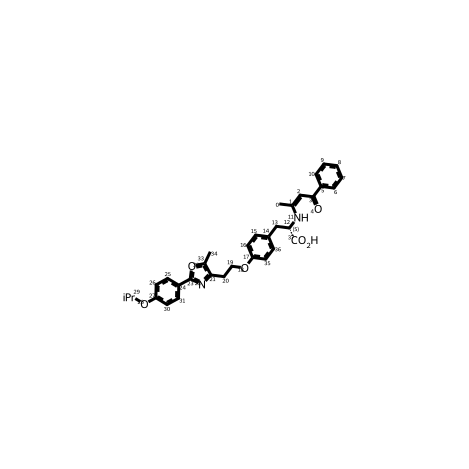 CC(=CC(=O)c1ccccc1)N[C@@H](Cc1ccc(OCCc2nc(-c3ccc(OC(C)C)cc3)oc2C)cc1)C(=O)O